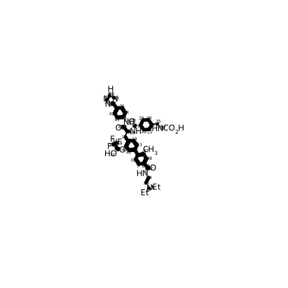 CCN(CC)CCNC(=O)c1ccc(-c2ccc(C[C@H](NC(=O)[C@H]3CC[C@H](CNC(=O)O)CC3)C(=O)Nc3ccc(-c4nn[nH]n4)cc3)cc2)c(C)c1.O=C(O)C(F)(F)F